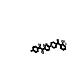 Cc1ccc(NC(=O)c2ccc(N3CCN(C(=O)c4ccccc4C(F)(F)F)CC3)nn2)cc1